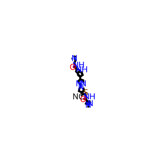 CN(C)CCNC(=O)c1cc2cc(-c3cnc(N4CCc5c(sc(NC(=O)c6cnn(C)c6)c5C#N)C4)nc3)ccc2[nH]1